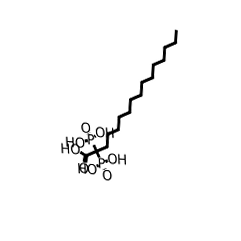 CCCCCCCCCCCCCCC(C(=O)O)(P(=O)(O)O)P(=O)(O)O